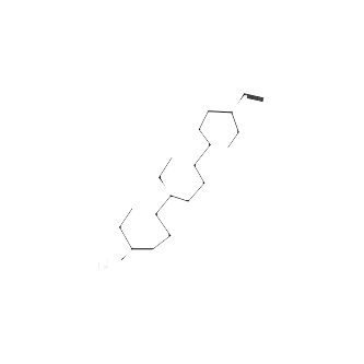 C=C[C@H]1CC[C@H]([C@H]2CC[C@H]([C@H]3CC[C@H](CCC)CC3)CC2)CC1